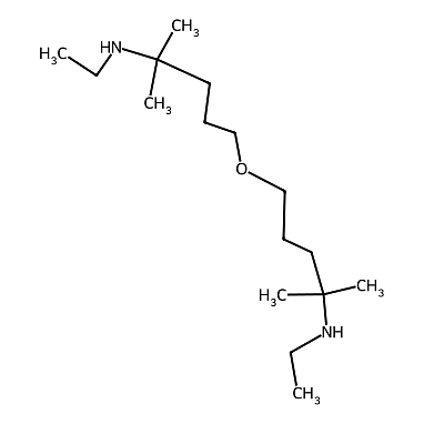 CCNC(C)(C)CCCOCCCC(C)(C)NCC